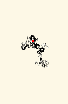 Cc1ccc2c(cnn2COCC[Si](C)(C)C)c1N1CCc2c(nc(OCC3CCCN3C)nc2N2C[C@H]3CC[C@@H](C2)N3C(=O)O)C1